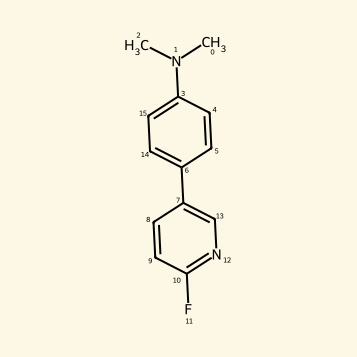 CN(C)c1ccc(-c2ccc(F)nc2)cc1